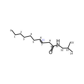 CCCCCC/C=C/CC(=O)NCC(C)C